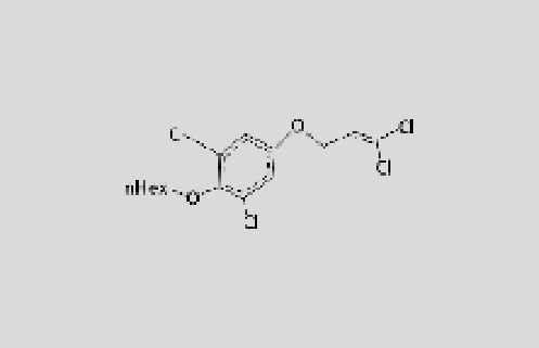 [CH2]CCCCCOc1c(Cl)cc(OCC=C(Cl)Cl)cc1Cl